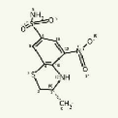 [CH2][C@@H]1CSc2cc(S(N)(=O)=O)cc([N+](=O)[O-])c2N1